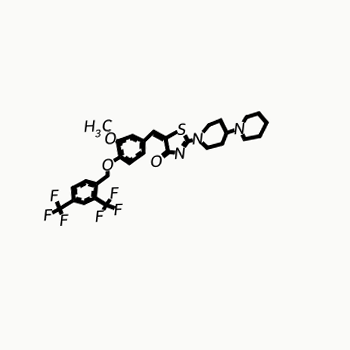 COc1cc(C=C2SC(N3CCC(N4CCCCC4)CC3)=NC2=O)ccc1OCc1ccc(C(F)(F)F)cc1C(F)(F)F